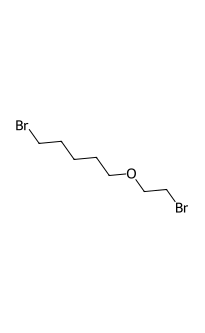 BrCCCCCOCCBr